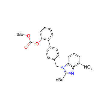 CCCCc1nc2c([N+](=O)[O-])cccc2n1Cc1ccc(-c2ccccc2OC(=O)OC(C)(C)C)cc1